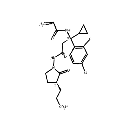 C=CC(=O)N[C@](CC(=O)NN1CC[C@H](CCC(=O)O)C1=O)(c1ccc(Cl)cc1F)C1CC1